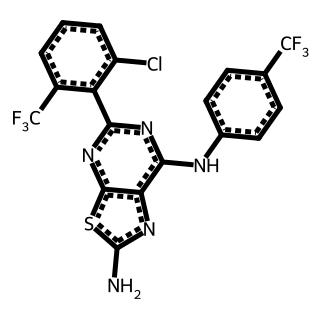 Nc1nc2c(Nc3ccc(C(F)(F)F)cc3)nc(-c3c(Cl)cccc3C(F)(F)F)nc2s1